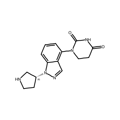 O=C1CCN(c2cccc3c2cnn3[C@@H]2CCNC2)C(=O)N1